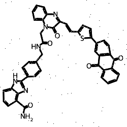 NC(=O)c1cccc2[nH]c(-c3ccc(CNC(=O)Cn4c(=O)c(/C=C/c5ccc(-c6ccc7c(c6)C(=O)c6ccccc6C7=O)s5)nc5ccccc54)cc3)nc12